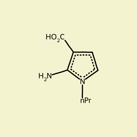 CCCn1ccc(C(=O)O)c1N